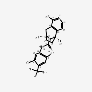 Fc1cc(C(F)(F)F)c(Cl)cc1NC(=S)N1[C@H]2CC[C@@H]1c1ccnc(F)c1C2